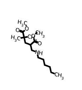 CCCCCCNCC(CC(C)(C)C(=O)OC)C(=O)OC